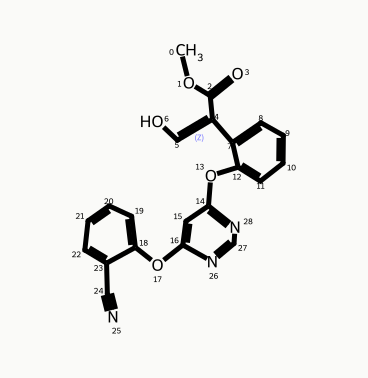 COC(=O)/C(=C\O)c1ccccc1Oc1cc(Oc2ccccc2C#N)ncn1